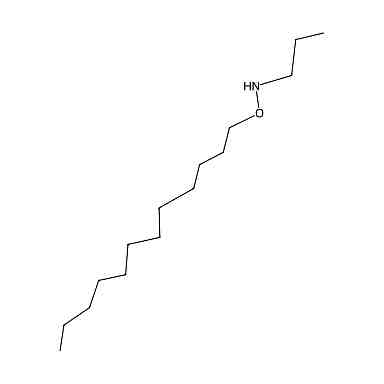 CCCCCCCCCCCCONCCC